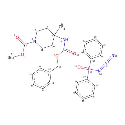 CC(C)(C)OC(=O)N1CCC(NC(=O)OCc2ccccc2)(C(F)(F)F)CC1.[N-]=[N+]=NP(=O)(c1ccccc1)c1ccccc1